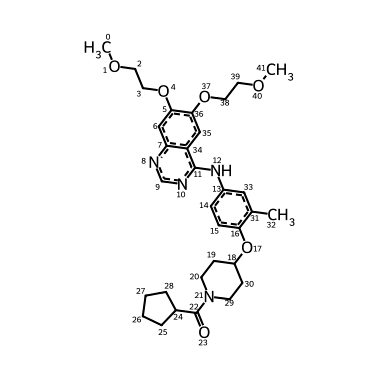 COCCOc1cc2ncnc(Nc3ccc(OC4CCN(C(=O)C5CCCC5)CC4)c(C)c3)c2cc1OCCOC